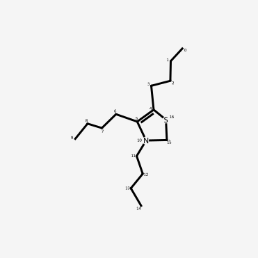 CCCCC1=C(CCCC)N(CCCC)[CH]S1